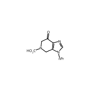 CCCn1cnc2c1CN(C(=O)O)CC2=O